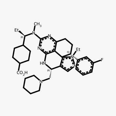 CC[C@H](C1CCC(C(=O)O)CC1)N(C)c1nc2c(c(N[C@@H](CN3CCCCC3)c3cnn(CC)c3)n1)C[C@@H](c1cccc(F)c1)CC2